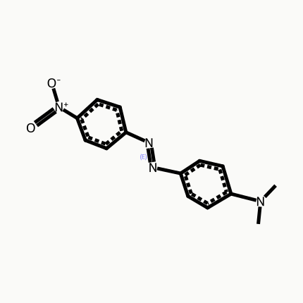 CN(C)c1ccc(/N=N/c2ccc([N+](=O)[O-])cc2)cc1